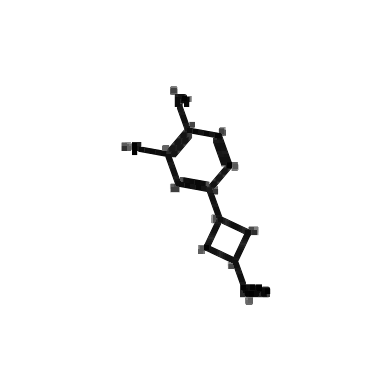 CNC1CC(c2ccc(C(C)C)c(F)c2)C1